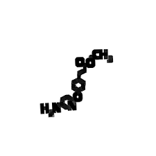 CCOC(=O)C=Cc1ccc(Oc2ccc(N)cn2)cc1